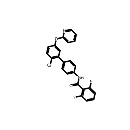 O=C(Nc1ccc(-c2cc(Oc3ccccn3)ccc2Cl)cc1)c1c(F)cccc1F